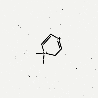 C[N+]1(C)C=CN=CC1